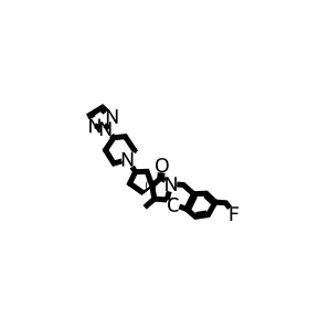 CC1C2Cc3ccc(CF)cc3CN2C(=O)[C@]12CCC(N1CCC(n3nccn3)CC1)C2